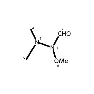 CON(C=O)N(C)C